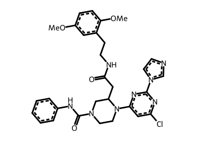 COc1ccc(OC)c(CCNC(=O)CC2CN(C(=O)Nc3ccccc3)CCN2c2cc(Cl)nc(-n3ccnc3)n2)c1